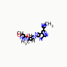 COc1ccc(C(=O)N[C@]2(C)C[C@H]3CN(c4ccc(-c5cc(-c6cnn(C)c6)cn6ncc(C#N)c56)cn4)C[C@H]3C2)cn1